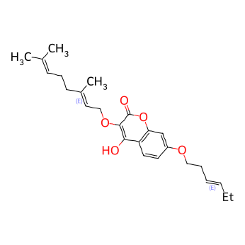 CC/C=C/CCOc1ccc2c(O)c(OC/C=C(\C)CCC=C(C)C)c(=O)oc2c1